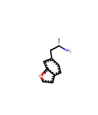 C[C@H](N)Cc1ccc2ccoc2c1